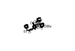 CCN(C(=O)/C=C/c1cc(C)c(N(Cc2cccnc2)S(=O)(=O)c2ccc(OC)cc2)c(C(=O)OC)c1)c1ccccc1